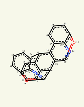 c1ccc2c(c1)c1c3nc4c(cccc4c2c2c4cccc5oc(nc54)c12)o3